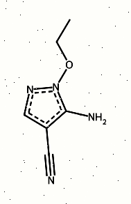 CCOn1ncc(C#N)c1N